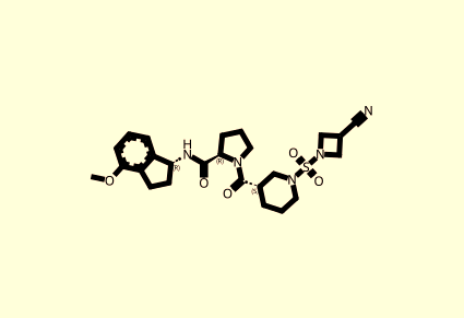 COc1cccc2c1CC[C@H]2NC(=O)[C@H]1CCCN1C(=O)[C@H]1CCCN(S(=O)(=O)N2CC(C#N)C2)C1